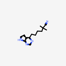 CC(C)(C#N)CCCCc1ncnc2[nH]ccc12